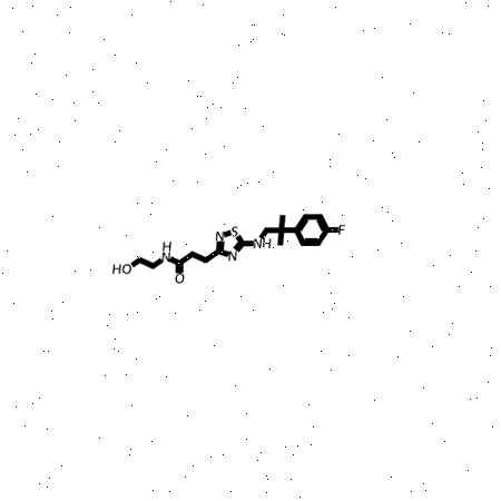 CC(C)(CNc1nc(CCC(=O)NCCO)ns1)c1ccc(F)cc1